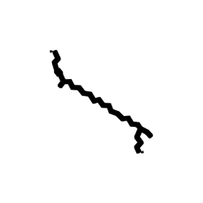 [CH2]CCC#CC(C)CCCCCCCCCCCCCCCC(CC)CCC[CH2]